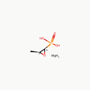 C[C@@H]1O[C@@H]1P(=O)(O)O.[MgH2]